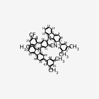 Cc1cc(C)cc(-c2ccc3c4ccccc4n(-c4cc(-c5cc(C)cc(C(F)(F)F)c5)c(-n5c6ccccc6c6ccc(-c7cc(C)cc(C)c7)cc65)cc4C#N)c3c2)c1